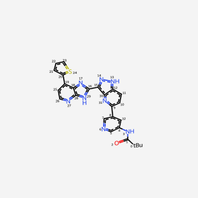 CC(C)(C)C(=O)Nc1cncc(-c2ccc3[nH]nc(-c4nc5c(-c6cccs6)ccnc5[nH]4)c3n2)c1